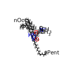 CCCCC/C=C\C/C=C\CCCCCCCCN(CCCCCCCCC(C)C/C=C\CCCCC)C(=O)C(CCCC[N+](C)(C)C)NC(=O)CCCCCCC/C=C\CCCCCCCC